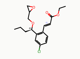 CCC[C@@H](OCC1CO1)c1cc(Cl)ccc1/C=C/C(=O)OCC